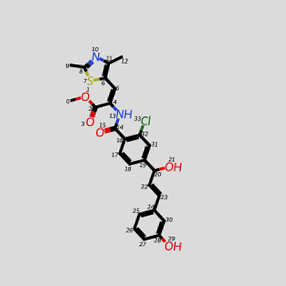 COC(=O)C(=Cc1sc(C)nc1C)NC(=O)c1ccc(C(O)C=Cc2cccc(O)c2)cc1Cl